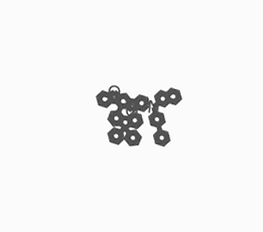 c1ccc(-c2ccc(N(c3ccc4ccccc4c3)c3ccc4c(c3)oc3c(-c5cccc6c5-c5ccccc5C6(c5ccccc5)c5ccccc5)c5c(cc34)oc3ccccc35)cc2)cc1